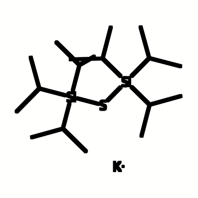 CC(C)[Si](S[Si](C(C)C)(C(C)C)C(C)C)(C(C)C)C(C)C.[K]